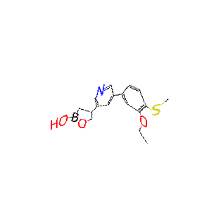 CCOc1cc(-c2cncc(C3COB(O)C3)c2)ccc1SC